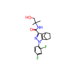 CC(C)(CO)NC(=O)c1nn(-c2ccc(F)cc2F)c2c1C1CCC2C1